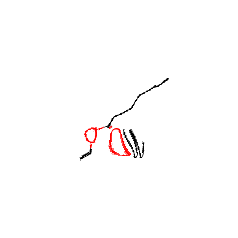 CCCCCC(=O)OCC.[W]